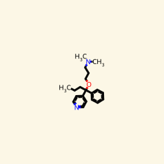 CCCC(OCCCN(C)C)(c1ccccc1)c1ccncc1